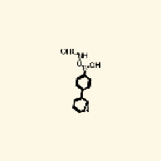 O=CNOB(O)c1ccc(-c2cccnc2)cc1